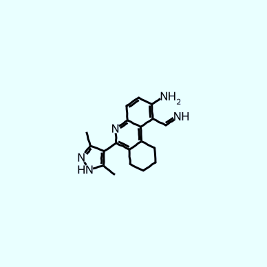 Cc1n[nH]c(C)c1-c1nc2ccc(N)c(C=N)c2c2c1CCCC2